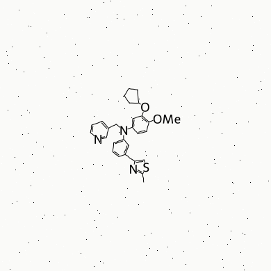 COc1ccc(N(Cc2cccnc2)c2cccc(-c3csc(C)n3)c2)cc1OC1CCCC1